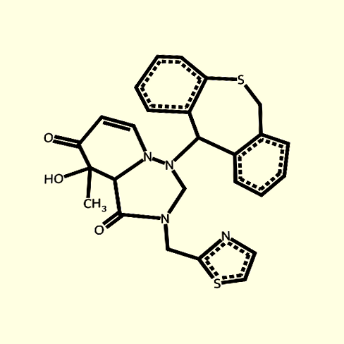 CC1(O)C(=O)C=CN2C1C(=O)N(Cc1nccs1)CN2C1c2ccccc2CSc2ccccc21